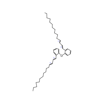 CCCCCCCCCCC/C=C/C=C/c1ccccc1Oc1ccccc1/C=C/C=C/CCCCCCCCCCC